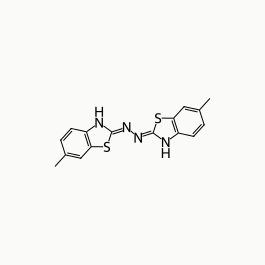 Cc1ccc2[nH]c(=N/N=c3/[nH]c4ccc(C)cc4s3)sc2c1